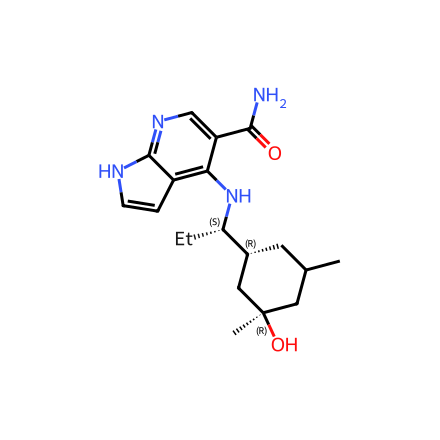 CC[C@H](Nc1c(C(N)=O)cnc2[nH]ccc12)[C@@H]1CC(C)C[C@@](C)(O)C1